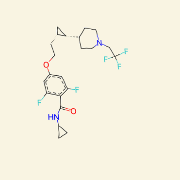 O=C(NC1CC1)c1c(F)cc(OCC[C@@H]2C[C@@H]2C2CCN(CC(F)(F)F)CC2)cc1F